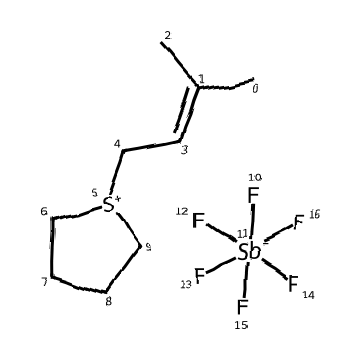 CC(C)=CC[S+]1CCCC1.[F][Sb-]([F])([F])([F])([F])[F]